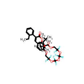 CCc1ccccc1-c1cc2ccc(OCC(F)(F)OC(F)(F)OC(F)(F)OC(F)(F)COC(=O)C(C)(CC(C)(C)C)C(C)(C)C)cc2oc1=O